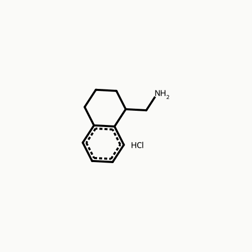 Cl.NCC1CCCc2ccccc21